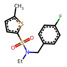 CCN(Cc1ccc(F)cc1)S(=O)(=O)c1ccc(C)s1